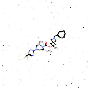 C[C@@H]1CN(c2ncc(C(F)(F)F)cn2)C[C@H](C)N1C(=O)OC1(C)CC2(CN(Cc3ccccc3)C2)C1